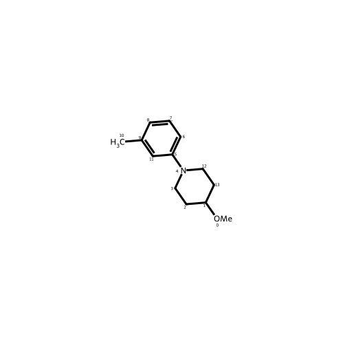 COC1CCN(c2c[c]cc(C)c2)CC1